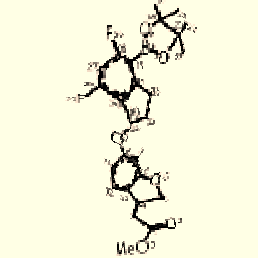 COC(=O)CC1COc2cc(O[C@@H]3CCc4c(B5OC(C)(C)C(C)(C)O5)c(F)cc(F)c43)ccc21